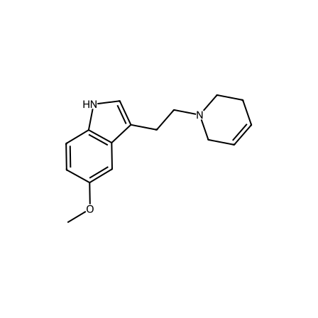 COc1ccc2[nH]cc(CCN3CC=CCC3)c2c1